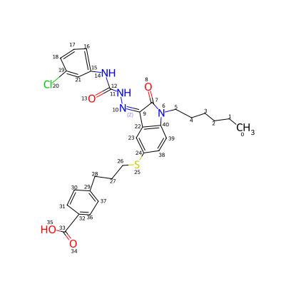 CCCCCCN1C(=O)/C(=N\NC(=O)Nc2cccc(Cl)c2)c2cc(SCCCc3ccc(C(=O)O)cc3)ccc21